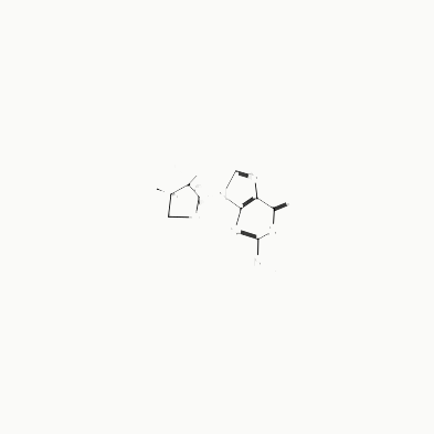 C[C@@]1(O)[C@H](O)CO[C@H]1n1cnc2c(=O)[nH]c(N)nc21